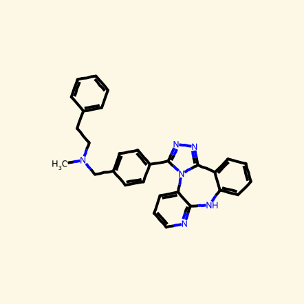 CN(CCc1ccccc1)Cc1ccc(-c2nnc3n2-c2cccnc2Nc2ccccc2-3)cc1